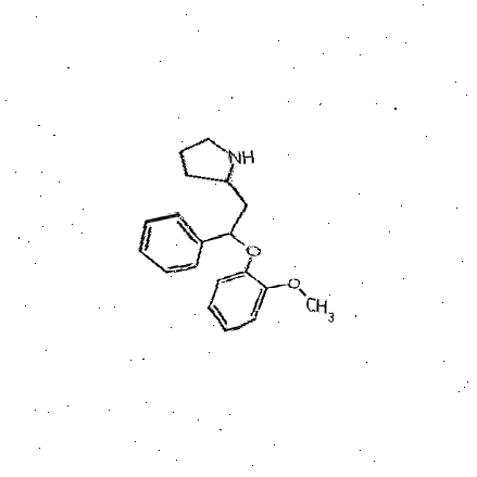 COc1ccccc1OC(CC1CCCN1)c1ccccc1